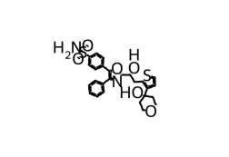 NS(=O)(=O)c1ccc(-c2oc(C(O)Cc3sccc3C3(O)CCOCC3)nc2-c2ccccc2)cc1